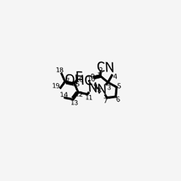 C=C(C#N)C1(C)CCCN1N(C=O)C/C(=C/C)C(F)=C(C)C